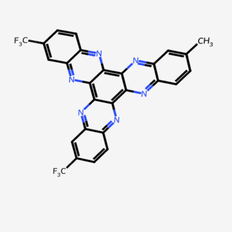 Cc1ccc2nc3c4nc5ccc(C(F)(F)F)cc5nc4c4nc5cc(C(F)(F)F)ccc5nc4c3nc2c1